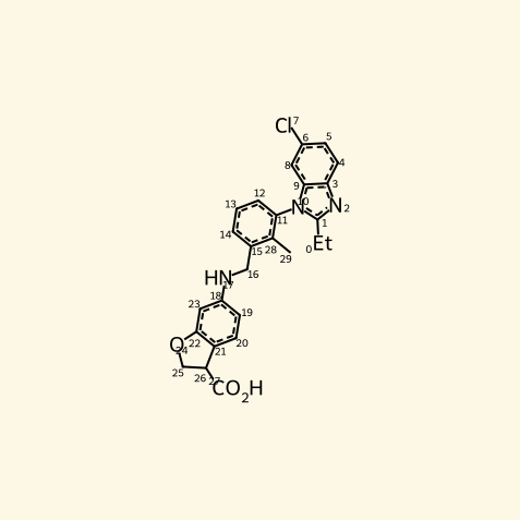 CCc1nc2ccc(Cl)cc2n1-c1cccc(CNc2ccc3c(c2)OCC3C(=O)O)c1C